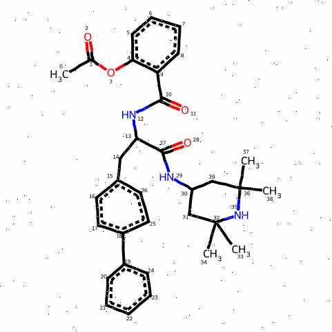 CC(=O)Oc1ccccc1C(=O)NC(Cc1ccc(-c2ccccc2)cc1)C(=O)NC1CC(C)(C)NC(C)(C)C1